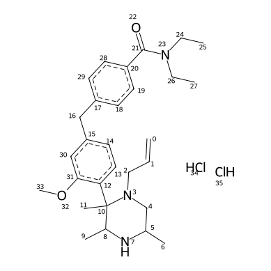 C=CCN1CC(C)NC(C)C1(C)c1ccc(Cc2ccc(C(=O)N(CC)CC)cc2)cc1OC.Cl.Cl